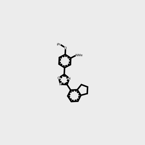 CNc1cc(-c2nc(-c3cccc4c3CCC4)no2)ccc1OC(C)C